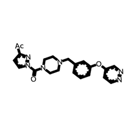 CC(=O)c1ccn(C(=O)N2CCN(Cc3cccc(Oc4ccnnc4)c3)CC2)n1